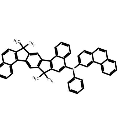 CC1(C)c2cc3c(cc2-c2c1ccc1ccccc21)C(C)(C)c1cc(N(c2ccccc2)c2ccc4ccc5ccccc5c4c2)c2ccccc2c1-3